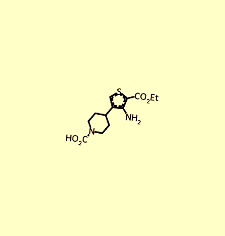 CCOC(=O)c1scc(C2CCN(C(=O)O)CC2)c1N